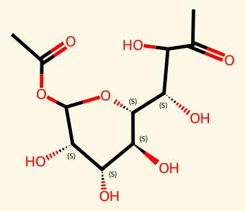 CC(=O)OC1O[C@H]([C@@H](O)C(O)C(C)=O)[C@@H](O)[C@H](O)[C@@H]1O